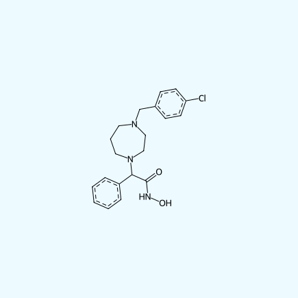 O=C(NO)C(c1ccccc1)N1CCCN(Cc2ccc(Cl)cc2)CC1